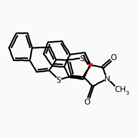 CN1C(=O)C2c3c4ccccc4c(c4c3sc3c5cc6ccccc6cc5sc34)C2C1=O